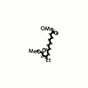 CCC(CCCCCCCCC(=O)OC)CC(=O)OC